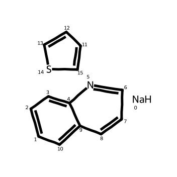 [NaH].c1ccc2ncccc2c1.c1ccsc1